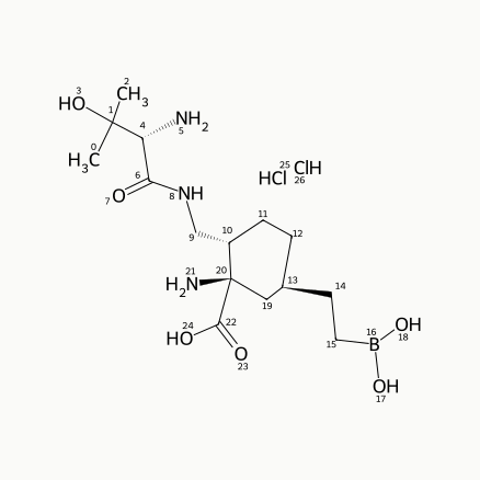 CC(C)(O)[C@H](N)C(=O)NC[C@@H]1CC[C@@H](CCB(O)O)C[C@]1(N)C(=O)O.Cl.Cl